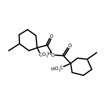 CC1CCCC(C(=O)O)(C(=O)OC(=O)C2(C(=O)O)CCCC(C)C2)C1